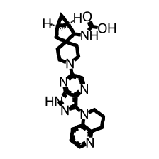 O=C(O)NC1[C@@H]2C[C@@H]2CC12CCN(c1cnc3c(N4CCCc5ncccc54)n[nH]c3n1)CC2